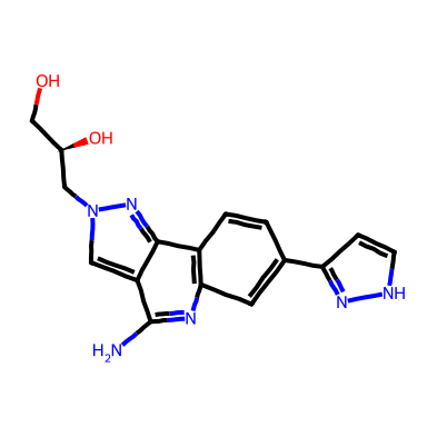 Nc1nc2cc(-c3cc[nH]n3)ccc2c2nn(C[C@H](O)CO)cc12